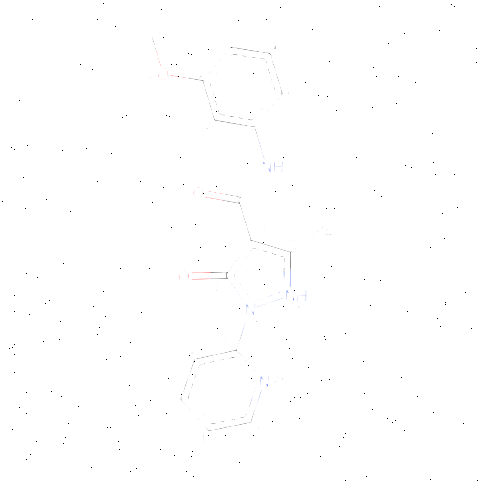 COc1cccc(NC(=O)c2c(C)[nH]n(-c3ccccn3)c2=O)c1